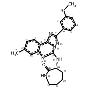 COc1cccc(-c2nc3c4ccc(C)cc4nc(N[C@@H]4CCCCNC4=O)n3n2)c1